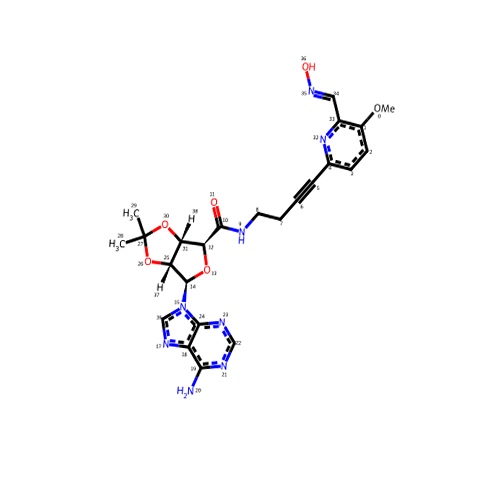 COc1ccc(C#CCCNC(=O)[C@H]2O[C@@H](n3cnc4c(N)ncnc43)[C@@H]3OC(C)(C)O[C@@H]32)nc1C=NO